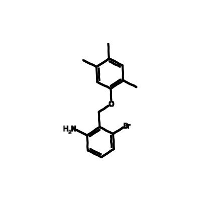 Cc1cc(C)c(OCc2c(N)cccc2Br)cc1C